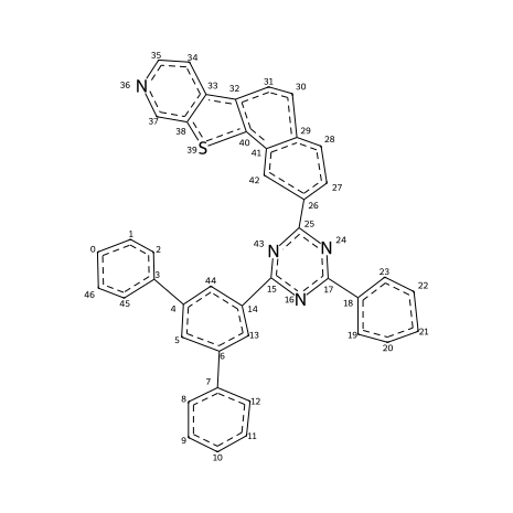 c1ccc(-c2cc(-c3ccccc3)cc(-c3nc(-c4ccccc4)nc(-c4ccc5ccc6c7ccncc7sc6c5c4)n3)c2)cc1